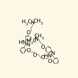 CN(C)CCCOc1ccc2nc(-c3ccccc3OCCOCCOCCOc3ccccc3-c3nc4ccc(OCCCN(C)C)cc4[nH]3)[nH]c2c1